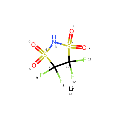 O=S1(=O)NS(=O)(=O)C(F)(F)C1(F)F.[Li]